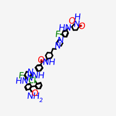 NC(=O)c1ccc(Nc2nc(Nc3ccc(C(=O)NC4CCC(CCN5CCN(c6ccc(NC7CCC(=O)NC7=O)cc6F)CC5)CC4)cc3)ncc2F)cc1-c1ccccc1Cl